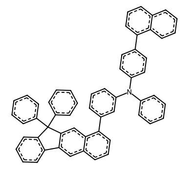 c1ccc(N(c2ccc(-c3cccc4ccccc34)cc2)c2cccc(-c3cccc4cc5c(cc34)C(c3ccccc3)(c3ccccc3)c3ccccc3-5)c2)cc1